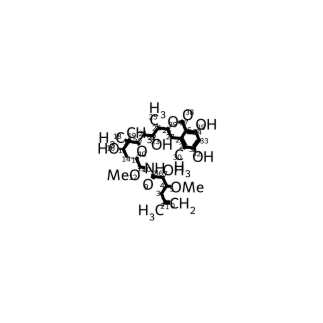 C=C(C)CC(OC)[C@H](O)C(=O)N[C@@H](OC)[C@@H]1C[C@@H](O)C(C)(C)[C@@H](C[C@H](O)[C@@H](C)C2Cc3c(C)c(O)cc(O)c3C(=O)O2)O1